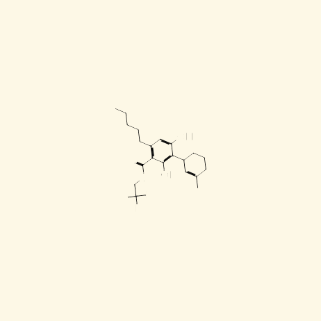 CCCCCc1cc(O)c(C2C=C(C)CCC2)c(O)c1C(=O)OCC(F)(F)F